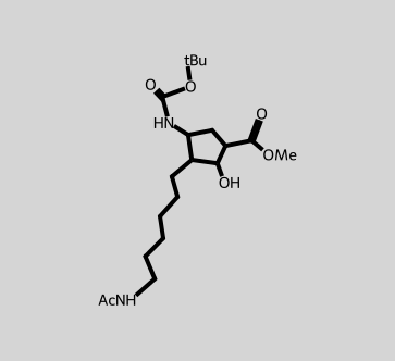 COC(=O)C1CC(NC(=O)OC(C)(C)C)C(CCCCCCNC(C)=O)C1O